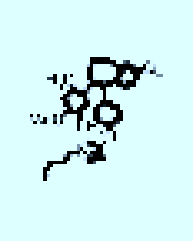 COc1cc(C)c(C2=C(c3ccc(O[C@H]4CCN(CCCF)C4)cc3)c3ccc(OF)cc3CCC2)cc1C